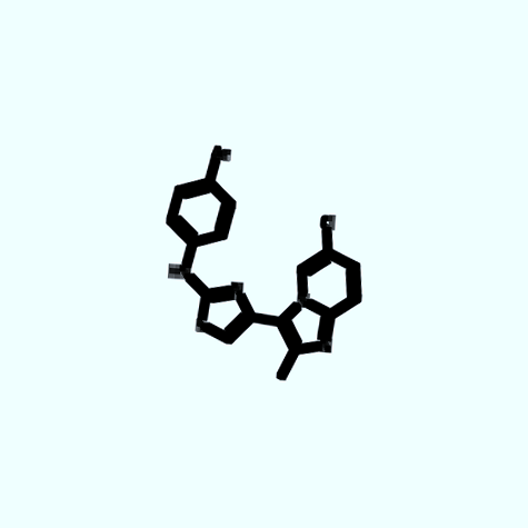 CC(=O)c1ccc(Nc2nc(-c3c(C)nc4ccc(Cl)cn34)cs2)cc1